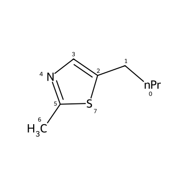 CCCCc1cnc(C)s1